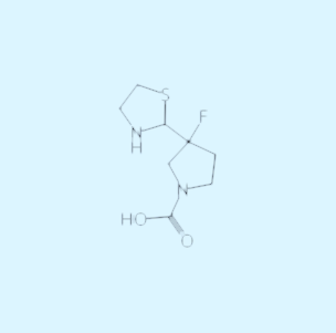 O=C(O)N1CCC(F)(C2NCCS2)C1